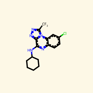 FC(F)(F)c1nnc2c(NC3CCCCC3)nc3ccc(Cl)cc3n12